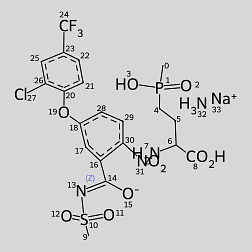 CP(=O)(O)CCC(N)C(=O)O.CS(=O)(=O)/N=C(\[O-])c1cc(Oc2ccc(C(F)(F)F)cc2Cl)ccc1[N+](=O)[O-].N.[Na+]